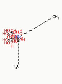 CCCCCCCCCCCCCCCCCCCCCCCCC(O)C(=O)N[C@@H](COP(=O)(O)O[C@H]1C(O)C(O)C(O)[C@@H](O)C1O[C@H]1O[C@H](CO)[C@@H](O)C(O)C1O)[C@H](O)[C@H](O)CCCCCCCCCCCCCCCC